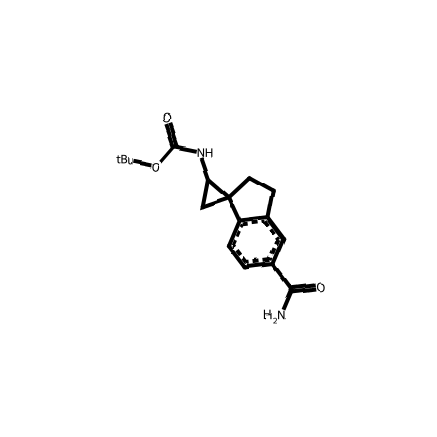 CC(C)(C)OC(=O)NC1CC12CCc1cc(C(N)=O)ccc12